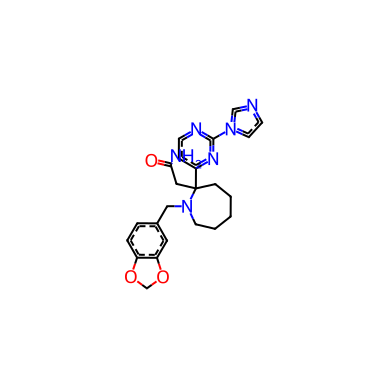 NC(=O)CC1(c2ccnc(-n3ccnc3)n2)CCCCCN1Cc1ccc2c(c1)OCO2